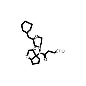 O=CCCC(=O)N(N1CCOC(CC2CCCCC2)C1)C12CCCC1OCC2=O